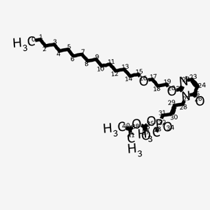 CCCCCCCCCCCCCCCCOCCCOc1nccc(=O)n1CC=CCP(C)(=O)OC(=O)OC(C)C